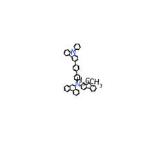 CC1(C)c2ccccc2-c2ccc(N(c3ccc(-c4ccc(-c5ccc6c(c5)c5ccccc5n6-c5ccccc5)cc4)cc3)c3cc4ccccc4c4ccccc34)cc21